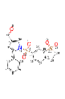 O=Cc1cc(-c2ccccc2)n(S(=O)(=O)c2ccc3c(c2)S(=O)(=O)CC3)c1